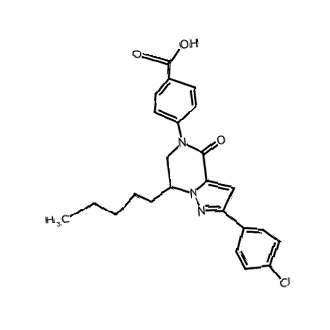 CCCCCC1CN(c2ccc(C(=O)O)cc2)C(=O)c2cc(-c3ccc(Cl)cc3)nn21